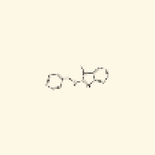 Cn1c(SCc2ccccc2)nc2ccccc21